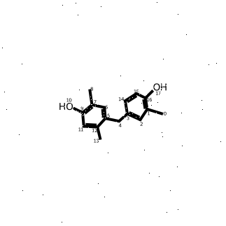 Cc1cc(Cc2cc(C)c(O)cc2C)ccc1O